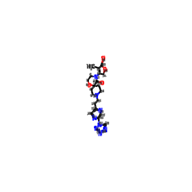 CC1=C(N2CCOC3(CCN(CCc4cnc(-n5cnnn5)cn4)CC3)C2=O)COC1=O